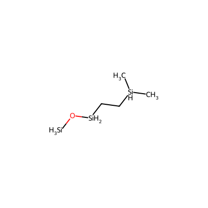 C[SiH](C)CC[SiH2]O[SiH3]